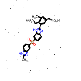 Cc1nc2cc(S(=O)(=O)c3ccc4nc(-c5cc(CS(=O)(=O)O)cc(C)c5CS(=O)(=O)O)[nH]c4c3)ccc2[nH]1